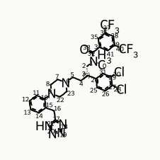 CN(C[C@@H](CCN1CCN(c2ccccc2Cc2nnn[nH]2)CC1)c1ccc(Cl)c(Cl)c1)C(=O)c1cc(C(F)(F)F)cc(C(F)(F)F)c1